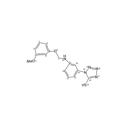 COc1cccc(OCNc2cccc(-n3nnnc3S)c2)c1